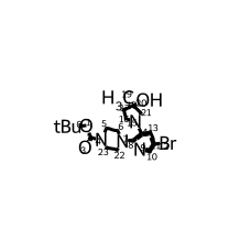 CC(C)(C)OC(=O)N1CCN(c2ncc(Br)cc2N2CC[C@@](C)(O)C2)CC1